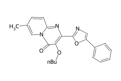 CCCCOc1c(-c2ncc(-c3ccccc3)o2)nc2ccc(C)cn2c1=O